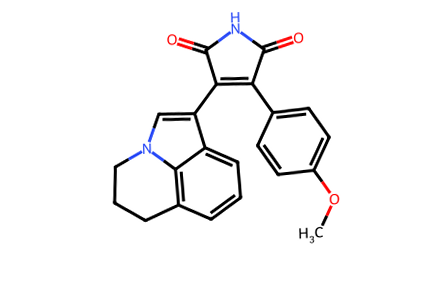 COc1ccc(C2=C(c3cn4c5c(cccc35)CCC4)C(=O)NC2=O)cc1